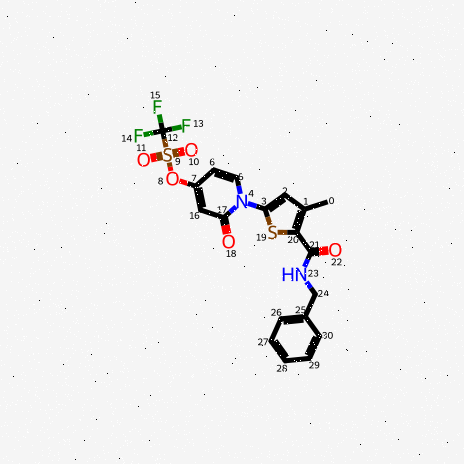 Cc1cc(-n2ccc(OS(=O)(=O)C(F)(F)F)cc2=O)sc1C(=O)NCc1ccccc1